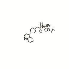 CC(C)[C@H](NC(=O)CC1CCC(c2ccnc3ccccc23)CC1)C(=O)O